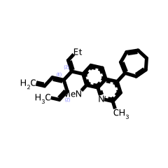 C=C/C=C(\C=C/C)C(=C/CC)/c1ccc2c(C3=CC=CCC=C3)cc(C)nc2c1NC